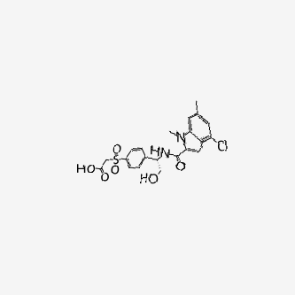 Cc1cc(Cl)c2cc(C(=O)N[C@H](CO)c3ccc(S(=O)(=O)CC(=O)O)cc3)n(C)c2c1